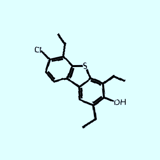 CCc1cc2c(sc3c(CC)c(Cl)ccc32)c(CC)c1O